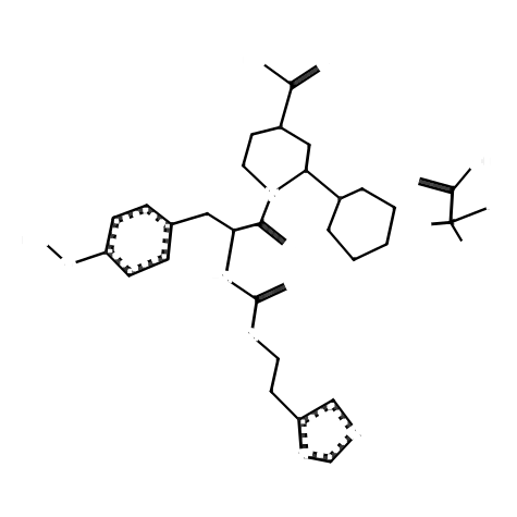 COc1ccc(CC(NC(=O)NCCc2c[nH]cn2)C(=O)N2CCC(C(=O)O)CC2C2CCCCC2)cc1.O=C(O)C(F)(F)F